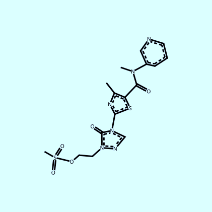 Cc1nc(-n2cnn(CCOS(C)(=O)=O)c2=O)sc1C(=O)N(C)c1cccnc1